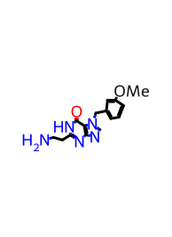 COc1cccc(Cn2cnc3nc(CCN)[nH]c(=O)c32)c1